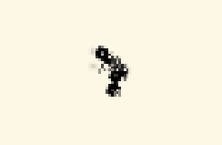 Cc1c(S(=O)(=O)Nc2ccc(-c3cccnc3)cc2C(F)(F)F)sc2ccc(F)cc12